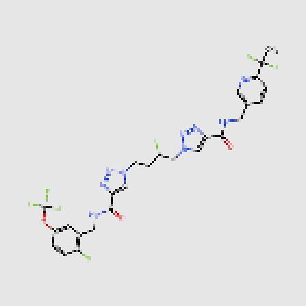 CC(F)(F)c1ccc(CNC(=O)c2cn(CC(F)CCn3cc(C(=O)NCc4cc(OC(F)(F)F)ccc4F)nn3)nn2)cn1